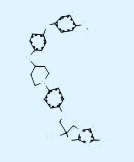 CC1(COc2ccc(N3CCC(Nc4ccc(Oc5ccc(OC(F)(F)F)cc5)cc4)CC3)cc2)Cn2cc([N+](=O)[O-])nc2O1